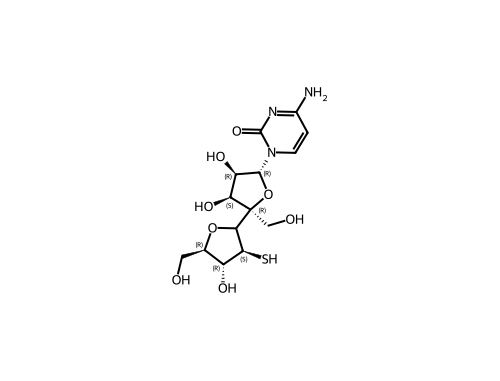 Nc1ccn([C@@H]2O[C@@](CO)(C3O[C@H](CO)[C@@H](O)[C@@H]3S)[C@@H](O)[C@H]2O)c(=O)n1